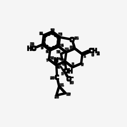 C=C1CCC2(O)C3Cc4c(O)ccc5c4[C@@]2(CC[N@@+]3([O-])CC2CC2)C1O5